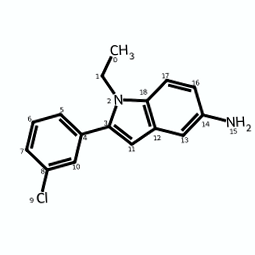 CCn1c(-c2cccc(Cl)c2)cc2cc(N)ccc21